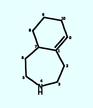 C1=C2CCNCCC2CCC1